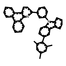 Cc1cc(C)c(-c2ccc3c(c2)c2ccccc2n3-c2cccc(-c3ccc4c5ccccc5c5ccccc5c4n3)c2)c(C)c1